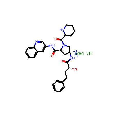 Cl.Cl.Cl.N[C@]1(NC(=O)[C@H](O)CCc2ccccc2)C[C@@H](C(=O)Nc2cnc3ccccc3c2)N(C(=O)C2CCCCN2)C1